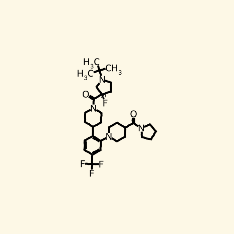 CC(C)(C)N1CC[C@](F)(C(=O)N2CCC(c3ccc(C(F)(F)F)cc3N3CCC(C(=O)N4CCCC4)CC3)CC2)C1